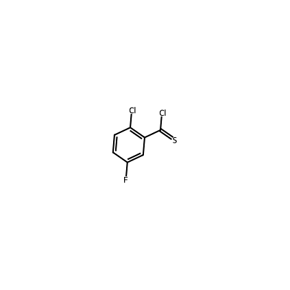 Fc1ccc(Cl)c(C(=S)Cl)c1